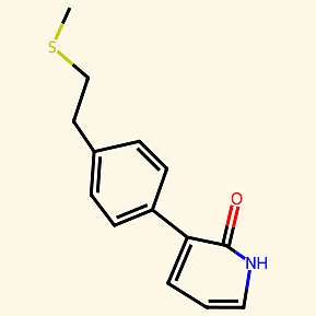 CSCCc1ccc(-c2ccc[nH]c2=O)cc1